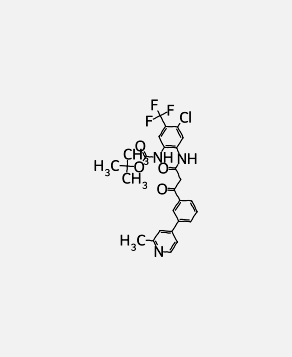 Cc1cc(-c2cccc(C(=O)CC(=O)Nc3cc(Cl)c(C(F)(F)F)cc3NC(=O)OC(C)(C)C)c2)ccn1